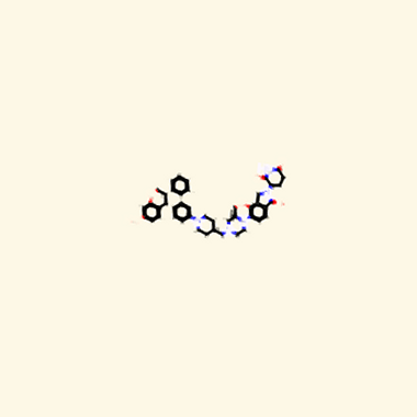 O=C1CCC(N2Cc3c(ccc4c3OC[C@@H]3CN(CC5CCN(c6ccc([C@@H]7c8ccc(O)cc8OC[C@@H]7c7ccccc7)cc6)CC5)CCN43)C2=O)C(=O)N1